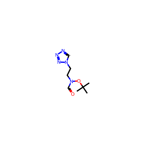 CC(C)(C)ON(C=O)CCn1[c]nnn1